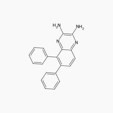 Nc1nc2ccc(-c3ccccc3)c(-c3ccccc3)c2nc1N